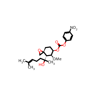 CO[C@H]1[C@H](C(C)(O)CCC=C(C)C)[C@]2(CC[C@H]1OC(=O)Oc1ccc([N+](=O)[O-])cc1)CO2